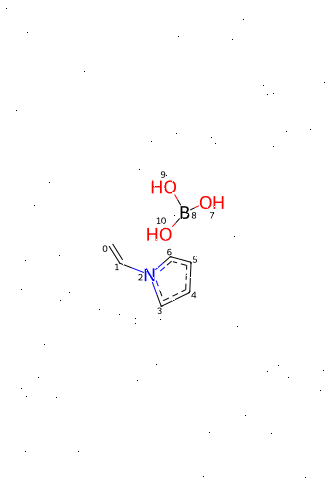 C=Cn1cccc1.OB(O)O